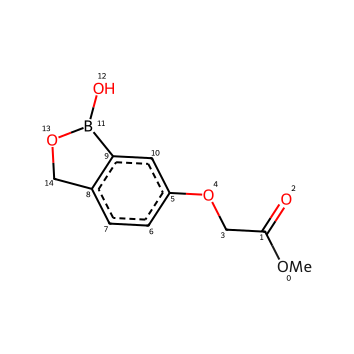 COC(=O)COc1ccc2c(c1)B(O)OC2